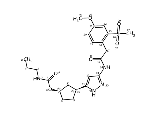 CCCNC(=O)O[C@@H]1CC[C@H](c2cc(NC(=O)Cc3ccc(OC)cc3S(C)(=O)=O)n[nH]2)C1